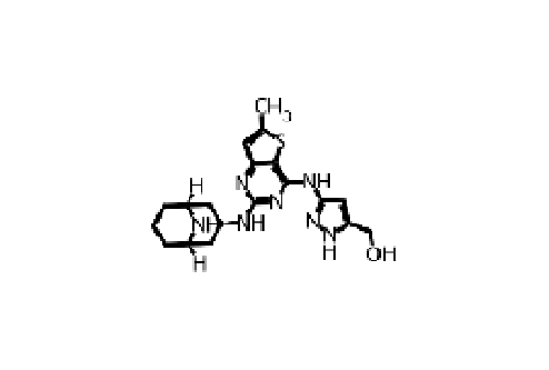 Cc1cc2nc(N[C@@H]3C[C@H]4CCC[C@@H](C3)N4)nc(Nc3cc(CO)[nH]n3)c2s1